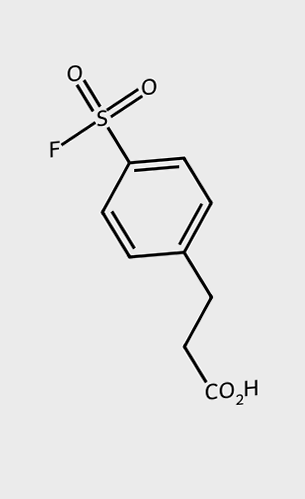 O=C(O)CCc1ccc(S(=O)(=O)F)cc1